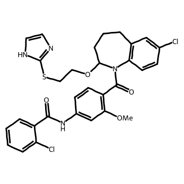 COc1cc(NC(=O)c2ccccc2Cl)ccc1C(=O)N1c2ccc(Cl)cc2CCCC1OCCSc1ncc[nH]1